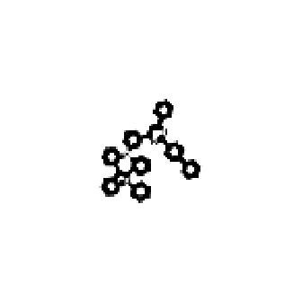 c1ccc(-c2ccc(-c3nc(-c4ccccc4)cc(-c4cccc(N5c6ccccc6-c6c(n(-c7ccccc7)c7ccccc67)-c6ccccc65)c4)n3)cc2)cc1